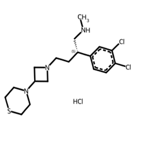 CNC[C@@H](CCN1CC(N2CCSCC2)C1)c1ccc(Cl)c(Cl)c1.Cl